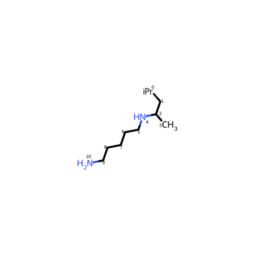 CC(C)CC(C)NCCCCCN